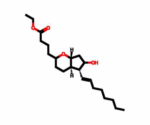 CCCCCC/C=C/[C@H]1C(O)C[C@H]2OC(CCCC(=O)OCC)CC[C@@H]21